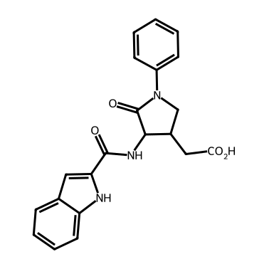 O=C(O)CC1CN(c2ccccc2)C(=O)C1NC(=O)c1cc2ccccc2[nH]1